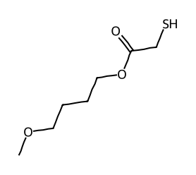 COCCCCOC(=O)CS